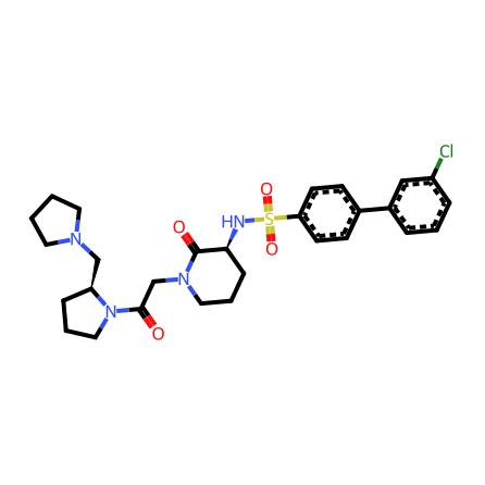 O=C1[C@@H](NS(=O)(=O)c2ccc(-c3cccc(Cl)c3)cc2)CCCN1CC(=O)N1CCC[C@H]1CN1CCCC1